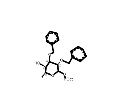 CCCCCCCCOC1O[C@@H](C)[C@@H](O)[C@@H](OCc2ccccc2)[C@@H]1OCc1ccccc1